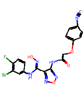 [C-]#[N+]c1ccc(OCC(=O)Nc2nonc2C(=NO)Nc2ccc(F)c(Br)c2)cc1